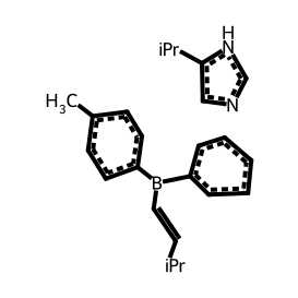 CC(C)c1cnc[nH]1.Cc1ccc(B(C=CC(C)C)c2ccccc2)cc1